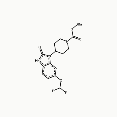 CC(C)(C)OC(=O)N1CCC(n2c(=O)[nH]c3ccc(OC(F)F)cc32)CC1